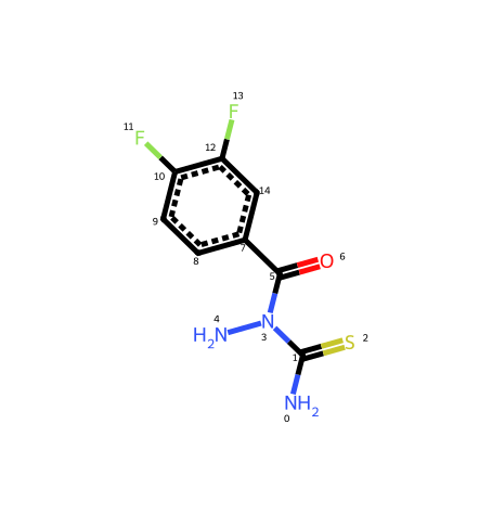 NC(=S)N(N)C(=O)c1ccc(F)c(F)c1